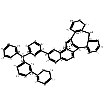 Cc1c2cc3c(ccc4ccc(-c5cccc(N(c6ccccc6)c6cccc(C7=CC=CCC7)c6)c5)cc43)c1-c1ccccc1CC1=C2C=CCC1